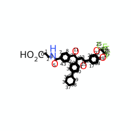 O=C(O)CCNC(=O)c1ccc(C(=O)C(=CC(=O)c2ccc3c(c2)OC(F)(F)C(F)(F)O3)c2ccc(C3CCCCC3)cc2)cc1